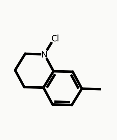 Cc1ccc2c(c1)N(Cl)CCC2